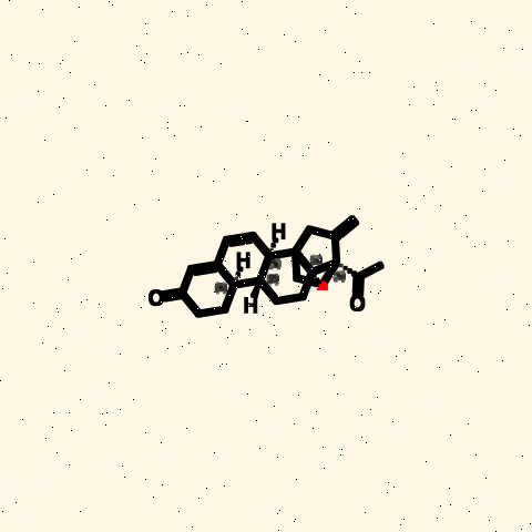 C=C1CC23CC[C@@]1(C(C)=O)[C@@]2(C)CC[C@H]1[C@H]3C=CC2=CC(=O)CC[C@@H]21